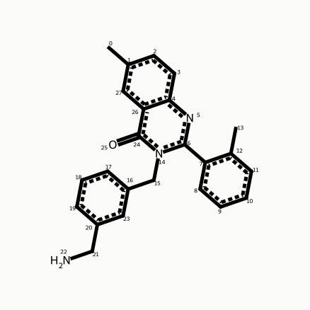 Cc1ccc2nc(-c3ccccc3C)n(Cc3cccc(CN)c3)c(=O)c2c1